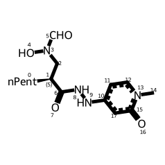 CCCCC[C@@H](CN(O)C=O)C(=O)NNc1ccn(C)c(=O)c1